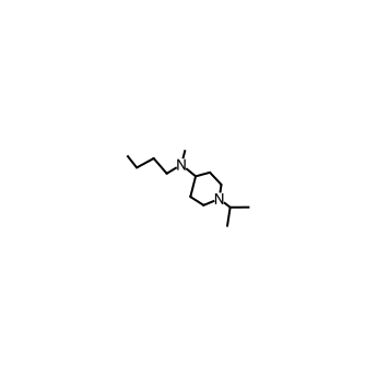 CCCCN(C)C1CCN(C(C)C)CC1